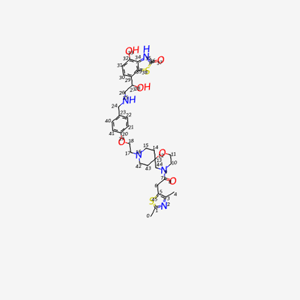 Cc1nc(C)c(CC(=O)N2CCOC3(CCN(CCOc4ccc(CNCC(O)c5ccc(O)c6[nH]c(=O)sc56)cc4)CC3)C2)s1